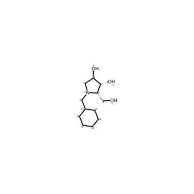 OC[C@H]1[C@@H](O)[C@H](O)CN1CC1CCCCC1